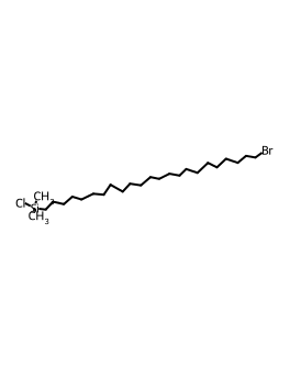 C[Si](C)(Cl)CCCCCCCCCCCCCCCCCCCCCCCBr